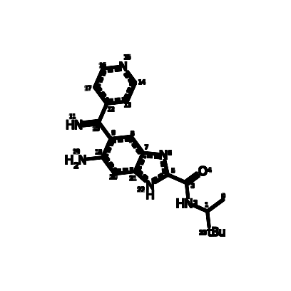 CC(NC(=O)c1nc2cc(C(=N)c3ccncc3)c(N)cc2[nH]1)C(C)(C)C